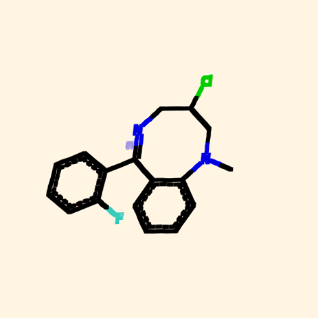 CN1CC(Cl)C/N=C(/c2ccccc2F)c2ccccc21